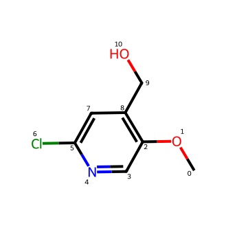 COc1cnc(Cl)cc1CO